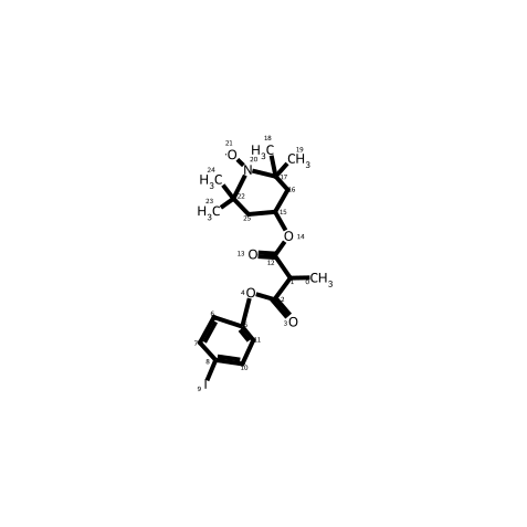 CC(C(=O)Oc1ccc(I)cc1)C(=O)OC1CC(C)(C)N([O])C(C)(C)C1